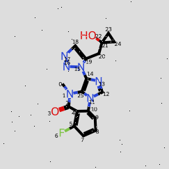 Cn1c(=O)c2c(F)cccc2n2cnc(-n3nncc3CC3(O)CC3)c12